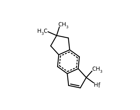 CC1(C)Cc2cc3c(cc2C1)[C](C)([Hf])C=C3